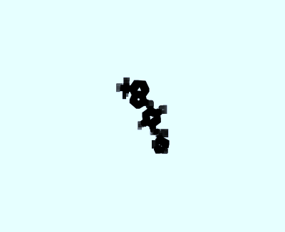 Fc1cc(OC2CCc3c2cccc3C(F)(F)F)c(Cl)cc1SNc1cscn1